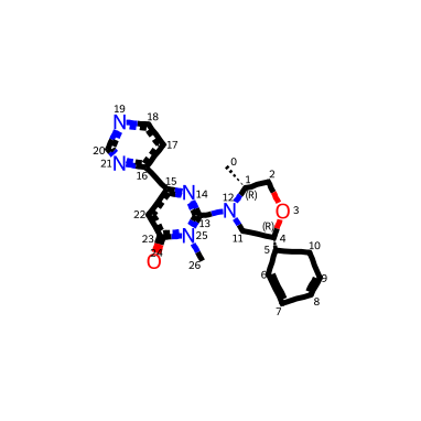 C[C@@H]1CO[C@H](C2C=CC=CC2)CN1c1nc(-c2ccncn2)cc(=O)n1C